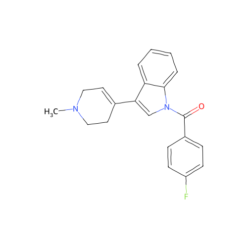 CN1CC=C(c2cn(C(=O)c3ccc(F)cc3)c3ccccc23)CC1